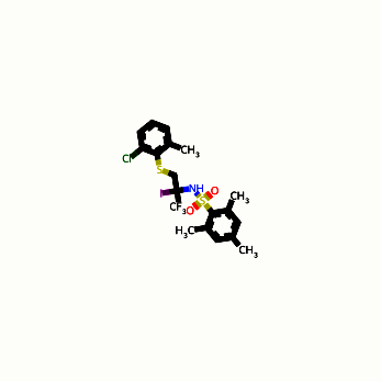 Cc1cc(C)c(S(=O)(=O)NC(I)(CSc2c(C)cccc2Cl)C(F)(F)F)c(C)c1